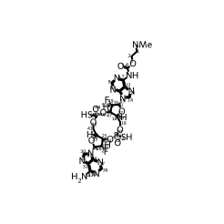 CNCCOC(=O)Nc1ncnc2c1ncn2[C@@H]1O[C@@H]2COP(=O)(S)O[C@H]3[C@@H](F)[C@H](n4cnc5c(N)ncnc54)O[C@@H]3CO[P@@](=O)(S)O[C@H]2[C@H]1F